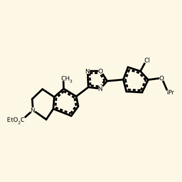 CCOC(=O)N1CCc2c(ccc(-c3noc(-c4ccc(OC(C)C)c(Cl)c4)n3)c2C)C1